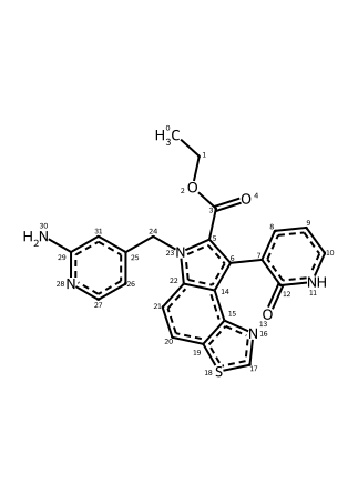 CCOC(=O)c1c(-c2ccc[nH]c2=O)c2c3ncsc3ccc2n1Cc1ccnc(N)c1